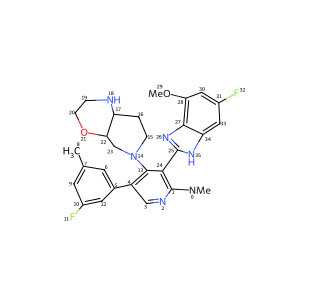 CNc1ncc(-c2cc(C)cc(F)c2)c(N2CCC3NCCOC3C2)c1-c1nc2c(OC)cc(F)cc2[nH]1